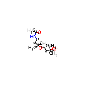 CC(=O)NCCC(C)(C)OCCC(C)(C)O